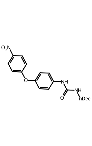 CCCCCCCCCCNC(=O)Nc1ccc(Oc2ccc([N+](=O)[O-])cc2)cc1